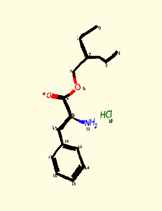 CCC(CC)COC(=O)[C@@H](N)Cc1ccccc1.Cl